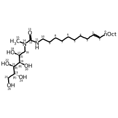 CCCCCCCCC=CCCCCCCCCNC(=O)N(C)C[C@H](O)[C@@H](O)[C@H](O)[C@H](O)CO